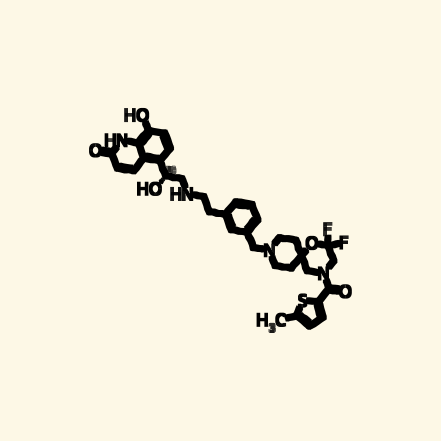 Cc1ccc(C(=O)N2CC(F)(F)OC3(CCN(Cc4cccc(CCNC[C@H](O)c5ccc(O)c6[nH]c(=O)ccc56)c4)CC3)C2)s1